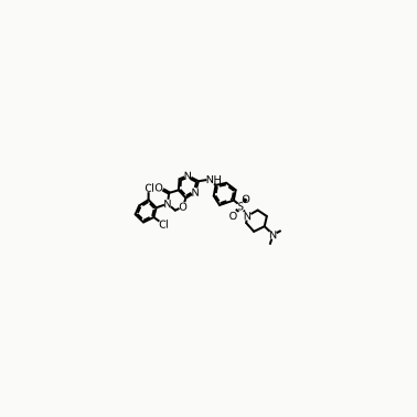 CN(C)C1CCN(S(=O)(=O)c2ccc(Nc3ncc4c(n3)OCN(c3c(Cl)cccc3Cl)C4=O)cc2)CC1